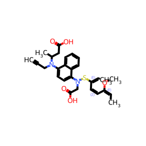 C#CCN(c1ccc(N(CC(=O)O)SC(/C=C\C(=C/C)OC)=C/C)c2ccccc12)C(C)CC(=O)O